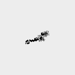 CCN(CC)S(=O)(=O)c1scc(Nc2n[s+]([O-])nc2N[C@@H](c2cc(CCCCN3CCN(C)CC3)co2)C(C)C)c1O